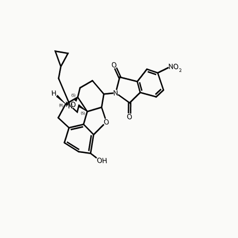 O=C1c2ccc([N+](=O)[O-])cc2C(=O)N1C1CC[C@@]2(O)[C@H]3Cc4ccc(O)c5c4[C@@]2(CCN3CC2CC2)C1O5